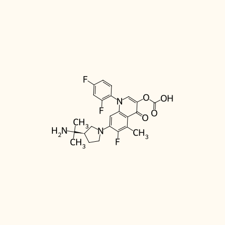 Cc1c(F)c(N2CC[C@@H](C(C)(C)N)C2)cc2c1c(=O)c(OC(=O)O)cn2-c1ccc(F)cc1F